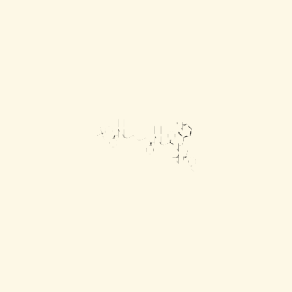 CCOC(=O)C[C@H](NC(=O)CNC(=O)CCCCNC(=O)OC(C)(C)C)c1cccnc1